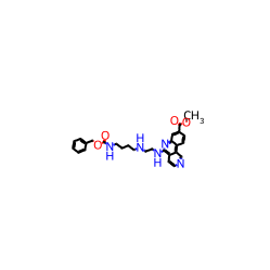 COC(=O)c1ccc2c(c1)nc(NCCNCCCCNC(=O)OCc1ccccc1)c1ccncc12